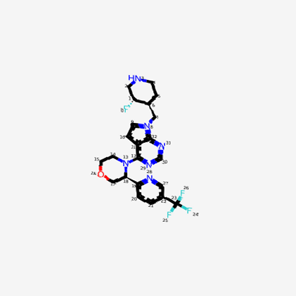 F[C@@H]1CNCC[C@H]1Cn1ccc2c(N3CCOC[C@@H]3c3ccc(C(F)(F)F)cn3)ncnc21